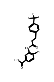 O=C(CCc1ccc(C(F)(F)F)cc1)Nc1cc(C(=O)O)ccc1Cl